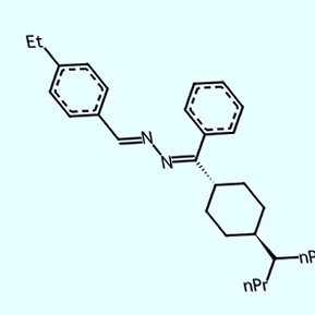 CCCC(CCC)[C@H]1CC[C@H](C(=NN=Cc2ccc(CC)cc2)c2ccccc2)CC1